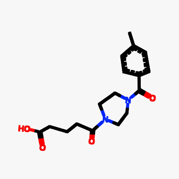 Cc1ccc(C(=O)N2CCN(C(=O)CCCC(=O)O)CC2)cc1